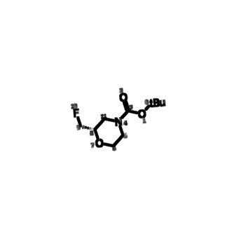 CC(C)(C)OC(=O)N1CCO[C@H](CF)C1